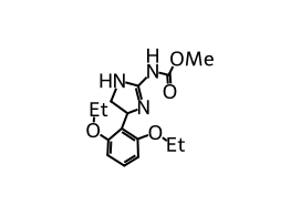 CCOc1cccc(OCC)c1C1CNC(NC(=O)OC)=N1